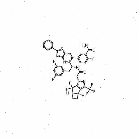 NC(=O)c1cc(-c2cc3sc(-c4ccccc4)nc3nc2C(Cc2cc(F)cc(F)c2)NC(=O)Cn2nc(C(F)(F)F)c3c2C(F)(F)[C@@H]2CC[C@H]32)ccc1F